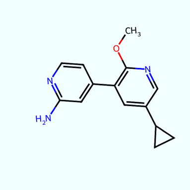 COc1ncc(C2CC2)cc1-c1ccnc(N)c1